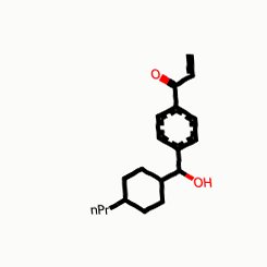 C=CC(=O)c1ccc(C(O)C2CCC(CCC)CC2)cc1